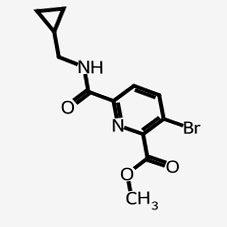 COC(=O)c1nc(C(=O)NCC2CC2)ccc1Br